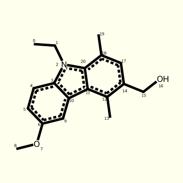 CCn1c2ccc(OC)cc2c2c(C)c(CO)cc(C)c21